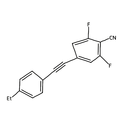 CCc1ccc(C#Cc2cc(F)c(C#N)c(F)c2)cc1